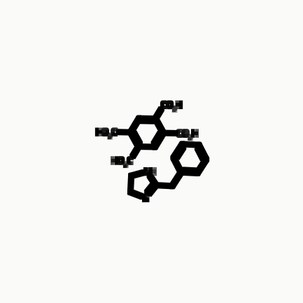 O=C(O)c1cc(C(=O)O)c(C(=O)O)cc1C(=O)O.c1ccc(CC2=NCCN2)cc1